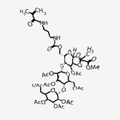 C=C(C)C(=O)NCCCNC(=O)OC[C@@H]1O[C@@H]2OC(C)(C(=O)OC)OC2C(OC(C)=O)[C@@H]1O[C@@H]1OC(COC(C)=O)[C@H](O[C@H]2OC(COC(C)=O)[C@H](OC(C)=O)[C@@H](OC(C)=O)C2OC(C)=O)[C@@H](OC(C)=O)C1OC(C)=O